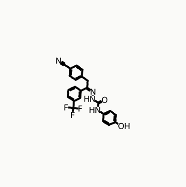 N#Cc1ccc(C/C(=N/NC(=O)Nc2ccc(O)cc2)c2cccc(C(F)(F)F)c2)cc1